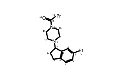 CCc1ccc2c(c1)C(N1CCN(C(=O)C(C)C)CC1)CC2